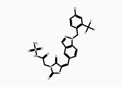 NS(=O)(=O)NC(=O)CN1C(=O)SC(=Cc2ccc3c(cnn3Cc3ccc(Cl)cc3C(F)(F)F)c2)C1=O